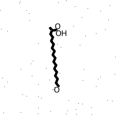 CC(CCCCCCCCCCCCCCCC[O])C(=O)O